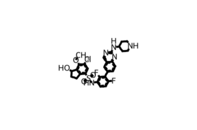 COc1c(Cl)cc(S(=O)(=O)Nc2ccc(F)c(-c3ccc4nc(NC5CCNCC5)ncc4c3)c2F)c2c1C(O)CC2